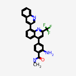 C=NC(=O)c1ccc(-c2cc(C(F)(F)F)nc3c(-c4cnc5ccccc5c4)cccc23)cc1N